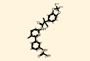 Cc1ccc(NC(=O)C(C)(C)c2ccc3c(c2)OC(F)(F)O3)nc1-c1cccc(NC(=O)C(C)C)c1